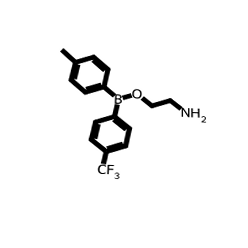 Cc1ccc(B(OCCN)c2ccc(C(F)(F)F)cc2)cc1